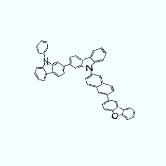 c1ccc(-n2c3ccccc3c3ccc(-c4ccc5c6ccccc6n(-c6ccc7cc(-c8ccc9oc%10ccccc%10c9c8)ccc7c6)c5c4)cc32)cc1